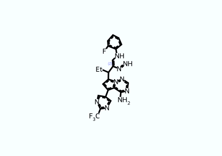 CCC(/C(=C/Nc1ccccc1F)N=N)c1cc(-c2cnc(C(F)(F)F)nc2)c2c(N)ncnn12